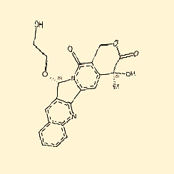 CC[C@@]1(O)C(=O)OCc2c1cc1n(c2=O)[C@@H](OCCO)c2cc3ccccc3nc2-1